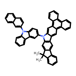 CC1(C)c2ccccc2-c2cc3c4cc5c6ccccc6c6ccccc6c5cc4n(-c4ccc5c(c4)c4ccccc4n5-c4ccc5ccccc5c4)c3cc21